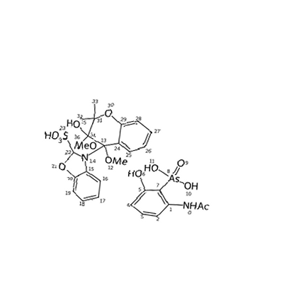 CC(=O)Nc1cccc(O)c1[As](=O)(O)O.COC1(N2c3ccccc3OC2S(=O)(=O)O)c2ccccc2OC(C)(C)C1(O)OC